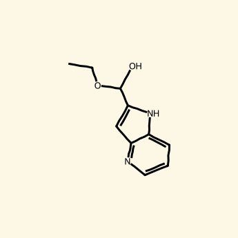 CCOC(O)c1cc2ncccc2[nH]1